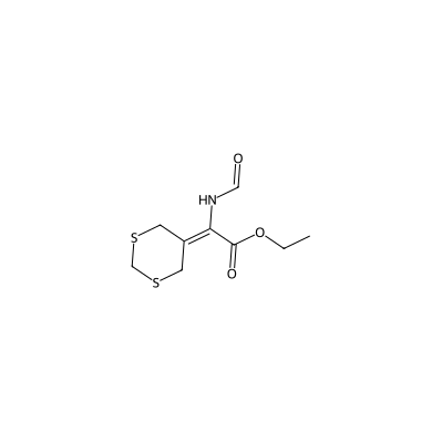 CCOC(=O)C(NC=O)=C1CSCSC1